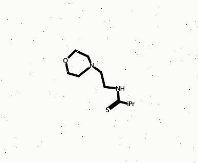 CC(C)C(=S)NCCN1CCOCC1